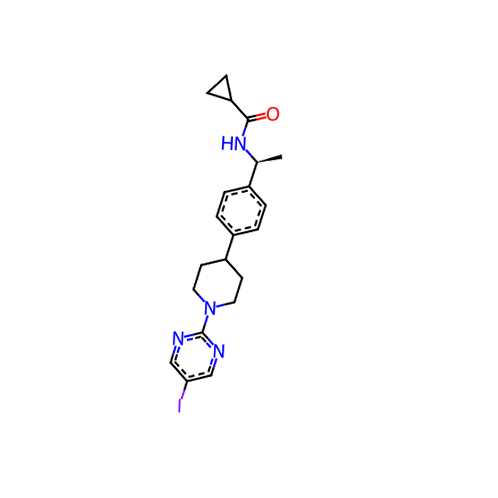 C[C@H](NC(=O)C1CC1)c1ccc(C2CCN(c3ncc(I)cn3)CC2)cc1